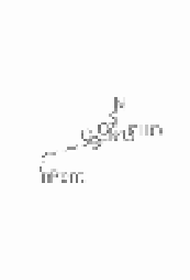 CCCCC/C=C\C/C=C\CCCCCCCC(=O)OCCN(CCOC=O)C(=O)CSCCN(C)C